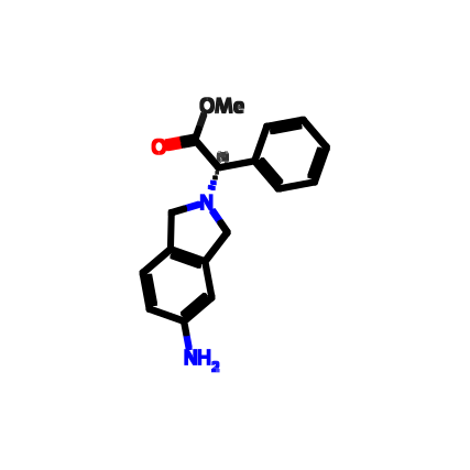 COC(=O)[C@H](c1ccccc1)N1Cc2ccc(N)cc2C1